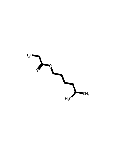 CCC(=O)OCCCCC(C)C